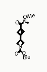 CON(C)C(=O)C12CC(C3CN(C(=O)OC(C)(C)C)C3)(C1)C2